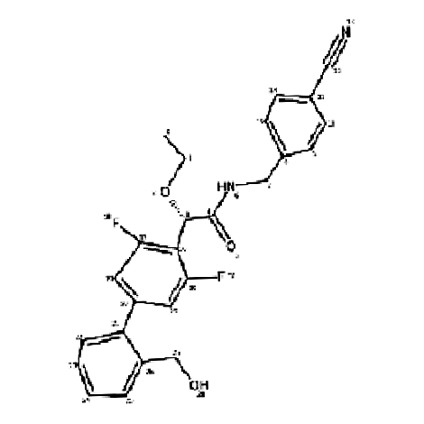 CCO[C@H](C(=O)NCc1ccc(C#N)cc1)c1c(F)cc(-c2ccccc2CO)cc1F